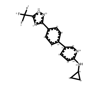 FC(F)(F)c1nc(-c2ccc(-c3ccc(NC4CC4)nc3)cc2)no1